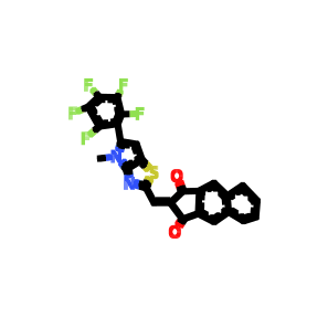 Cn1c(-c2c(F)c(F)c(F)c(F)c2F)cc2sc(C=C3C(=O)c4cc5ccccc5cc4C3=O)nc21